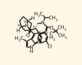 Cc1c[nH]c2ncnc(N3C[C@H]4CC[C@@H](C3)N4C(=O)[C@H](CN(C(=O)OC(C)(C)C)C(C)C)c3ccc(Cl)cc3)c12